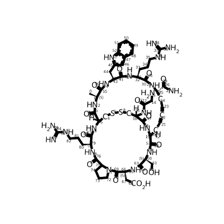 C[C@@H]1NC(=O)[C@@H]2CSSC[C@H](NC(=O)CN)C(=O)N[C@@H](CC=C=CC[C@@H](C(N)=O)NC(=O)[C@H](CCCNC(=N)N)NC(=O)[C@H](Cc3cc4ccccc4[nH]3)NC1=O)C(=O)N[C@@H](CO)C(=O)N[C@@H](CC(=O)O)C(=O)N1CCCC1C(=O)N[C@@H](CCCNC(=N)N)C(=O)N2